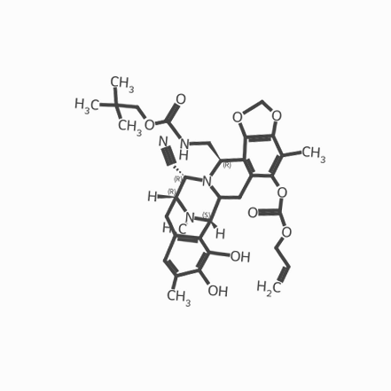 C=CCOC(=O)Oc1c(C)c2c(c3c1CC1[C@@H]4c5c(cc(C)c(O)c5O)C[C@H]([C@H](C#N)N1[C@H]3CNC(=O)OCC(C)(C)C)N4C)OCO2